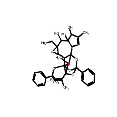 C=C(C)C12OC3(c4ccccc4)OC1C1C4OC4(CO)C(O)C4(O)C(O)C(C)=CC4C1(O3)C(C)C2OC(=O)c1ccccc1